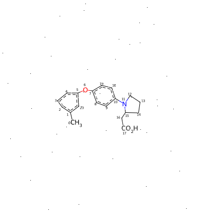 Cc1cccc(Oc2ccc(N3CCCC3CC(=O)O)cc2)c1